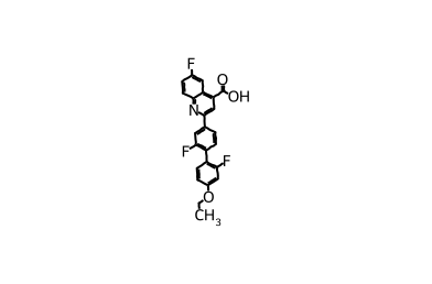 CCOc1ccc(-c2ccc(-c3cc(C(=O)O)c4cc(F)ccc4n3)cc2F)c(F)c1